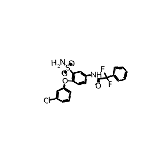 NS(=O)(=O)c1cc(NC(=O)C(F)(F)c2ccccc2)ccc1Oc1cccc(Cl)c1